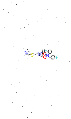 O=C(O[C@H]1C[N+]2(CCCSc3ccncc3)CCC1CC2)N(Cc1ccc(F)cc1)c1ccccc1F